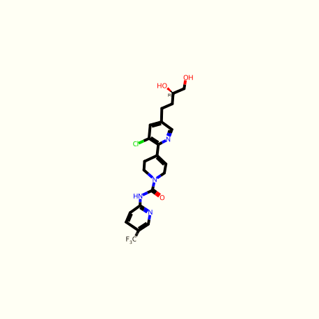 O=C(Nc1ccc(C(F)(F)F)cn1)N1CC=C(c2ncc(CC[C@@H](O)CO)cc2Cl)CC1